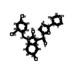 O=C(c1cnc(-c2ccncn2)o1)c1c(Cl)n(Cc2ccc(Cl)cc2Cl)c2ccc(Cl)cc12